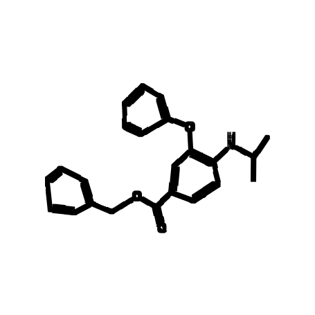 CC(C)Nc1ccc(C(=O)OCc2ccccc2)cc1Oc1ccccc1